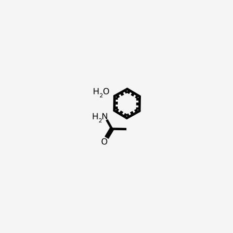 CC(N)=O.O.c1ccccc1